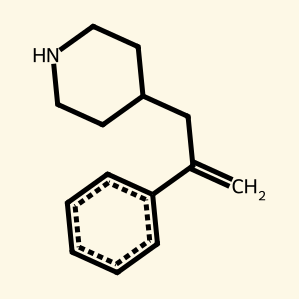 C=C(CC1CCNCC1)c1ccccc1